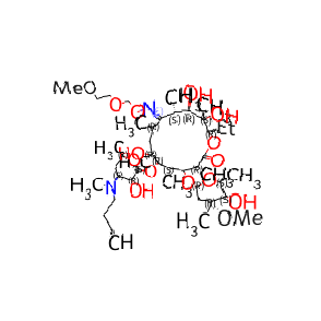 C#CCCN(C)[C@H]1C[C@@H](C)O[C@@H](O[C@@H]2[C@@H](C)C(O[C@H]3C[C@@](C)(OC)[C@@H](O)[C@H](C)O3)[C@@H](C)C(=O)O[C@H](CC)[C@@](C)(O)[C@H](O)[C@@H](C)/C(=N/OCOCCOC)[C@H](C)C[C@@]2(C)O)[C@@H]1O